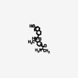 CC(N)C(=O)N1CCC(C(C)NC(=O)c2ccc3ccc(O)nc3c2)CC1